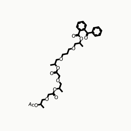 CC(=O)OC(C)COCC(=O)OC(C)COCC(=O)OC(C)COCCCOCC(C)OC(=O)c1ccccc1C(=O)c1ccccc1